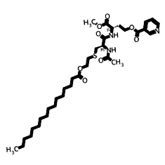 CCCCCCCCCCCCCCCC(=O)OCCSC[C@H](NC(C)=O)C(=O)N[C@@H](CCOC(=O)c1cccnc1)C(=O)OC